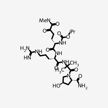 CNC(=O)C(=O)CC[C@H](NC(=O)OC(C)C)C(=O)N[C@@H](CCCNC(=N)N)C(=O)NC(C)(C)C(=O)N1C[C@H](O)C[C@H]1C(N)=O